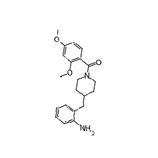 COc1ccc(C(=O)N2CCC(Cc3ccccc3N)CC2)c(OC)c1